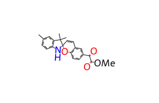 COC(=O)C(=O)c1ccc2c(c1)C=CC1(Nc3ccc(C)cc3C1(C)C)O2